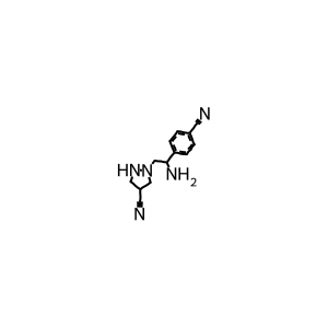 N#Cc1ccc(C(N)CN2CC(C#N)CN2)cc1